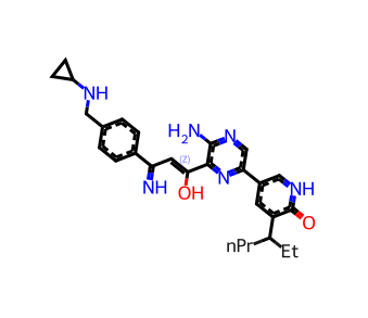 CCCC(CC)c1cc(-c2cnc(N)c(/C(O)=C/C(=N)c3ccc(CNC4CC4)cc3)n2)c[nH]c1=O